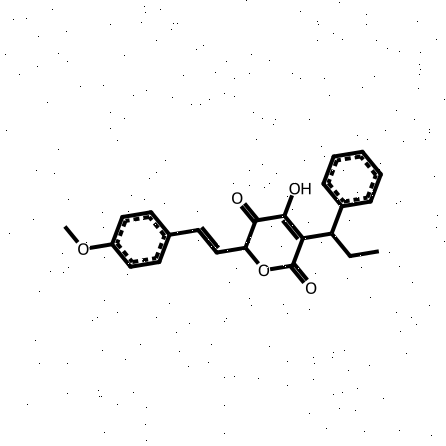 CCC(C1=C(O)C(=O)C(C=Cc2ccc(OC)cc2)OC1=O)c1ccccc1